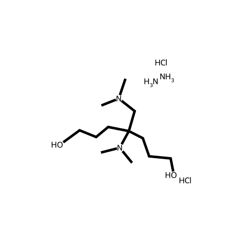 CN(C)CC(CCCO)(CCCO)N(C)C.Cl.Cl.N.N